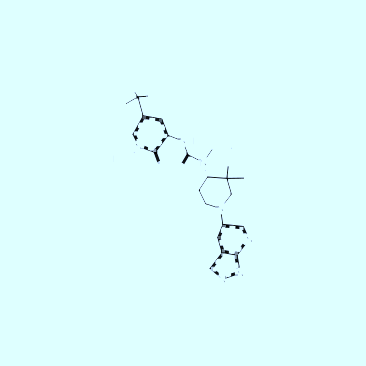 CN(C(=O)Nc1cc(C(F)(F)F)cn(C)c1=O)[C@H]1CCN(c2cnc3[nH]ncc3c2)CC1(F)F